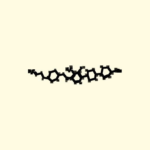 C=CCCC1CCC(COc2ccc(C3CCC(C4C=CC(CCCC)CC4)CC3)c(F)c2C)CC1